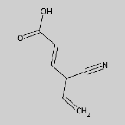 C=CC(C#N)C=CC(=O)O